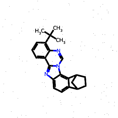 CC(C)(C)c1cccc2c1ncn1c2nc2ccc3c(c21)C1CCC3C1